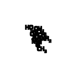 CCOc1nc(N)nc2c1ncn2[C@@H]1O[C@H](CO)[C@@H](O)[C@@]1(C)CC